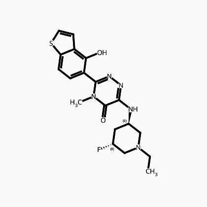 CCN1C[C@H](F)C[C@@H](Nc2nnc(-c3ccc4sccc4c3O)n(C)c2=O)C1